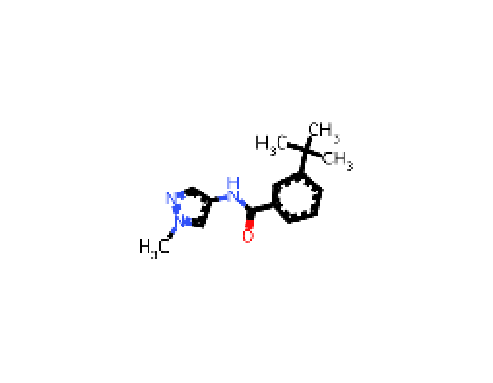 Cn1cc(NC(=O)c2cccc(C(C)(C)C)c2)cn1